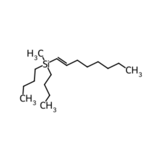 CCCCCC/C=C/[Si](C)(CCCC)CCCC